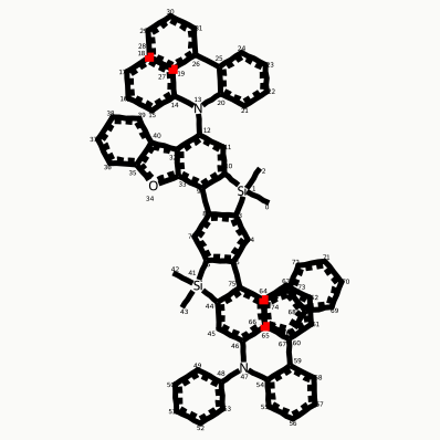 C[Si]1(C)c2cc3c(cc2-c2c1cc(N(c1ccccc1)c1ccccc1-c1ccccc1)c1c2oc2ccccc21)[Si](C)(C)c1cc(N(c2ccccc2)c2ccccc2-c2ccccc2)c2oc4ccccc4c2c1-3